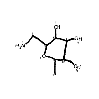 CC1OC(CN)C(O)C(O)C1O